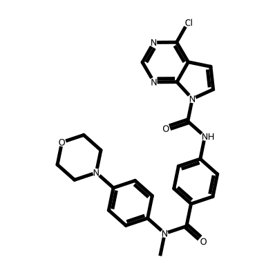 CN(C(=O)c1ccc(NC(=O)n2ccc3c(Cl)ncnc32)cc1)c1ccc(N2CCOCC2)cc1